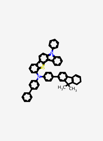 CC1(C)C2=C(C=CCC2)c2ccc(-c3ccc(N(c4ccc(-c5ccccc5)cc4)c4cccc5c4sc4c5ccc5c4c4ccccc4n5-c4ccccc4)cc3)cc21